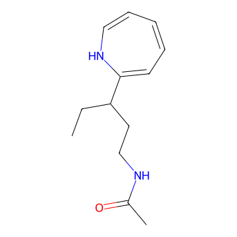 CCC(CCNC(C)=O)C1=CC=CC=CN1